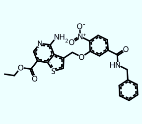 CCOC(=O)c1cnc(N)c2c(COc3cc(C(=O)NCc4ccccc4)ccc3[N+](=O)[O-])csc12